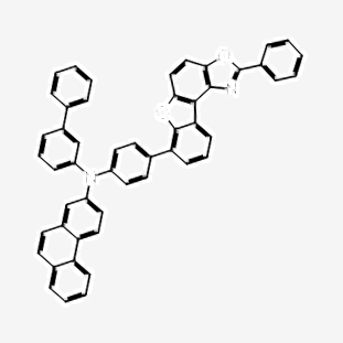 c1ccc(-c2cccc(N(c3ccc(-c4cccc5c4oc4ccc6oc(-c7ccccc7)nc6c45)cc3)c3ccc4c(ccc5ccccc54)c3)c2)cc1